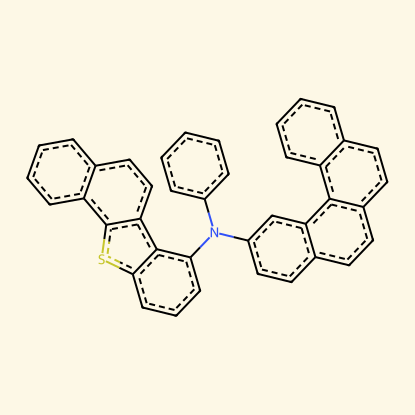 c1ccc(N(c2ccc3ccc4ccc5ccccc5c4c3c2)c2cccc3sc4c5ccccc5ccc4c23)cc1